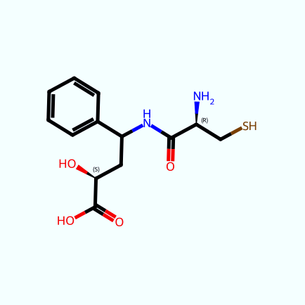 N[C@@H](CS)C(=O)NC(C[C@H](O)C(=O)O)c1ccccc1